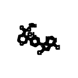 CC(C)(C)OC(=O)N1CCOCC1(C)c1ccc(-n2c(Cl)cc3c(Cl)ncnc32)cc1